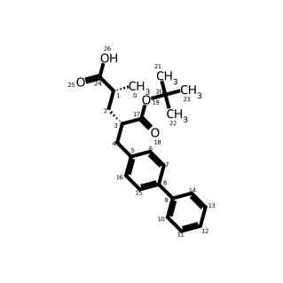 C[C@H](C[C@@H](Cc1ccc(-c2ccccc2)cc1)C(=O)OC(C)(C)C)C(=O)O